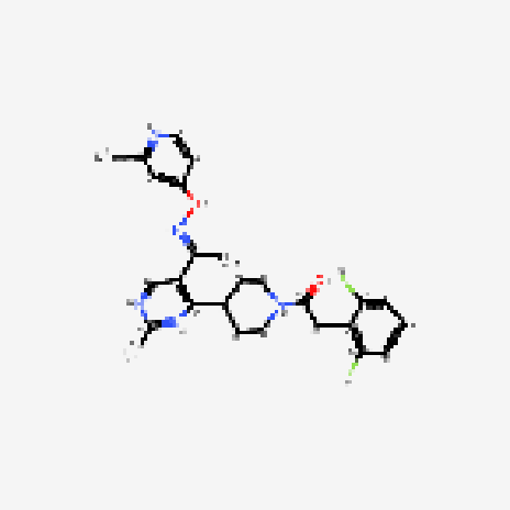 C/C(=N\Oc1ccnc(C#N)c1)c1cnc(C)nc1C1CCN(C(=O)Cc2c(F)cccc2F)CC1